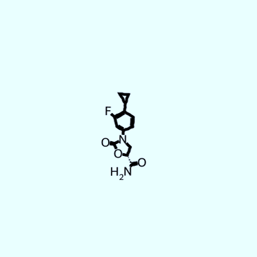 NC(=O)[C@H]1CN(c2ccc(C3CC3)c(F)c2)C(=O)O1